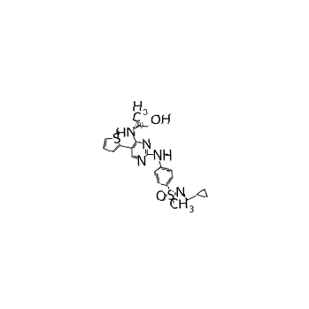 C[C@H](CO)Nc1nc(Nc2ccc(S(C)(=O)=NCC3CC3)cc2)ncc1-c1cccs1